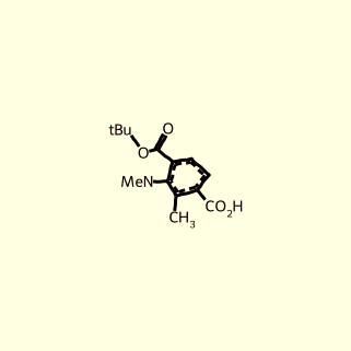 CNc1c(C(=O)OC(C)(C)C)ccc(C(=O)O)c1C